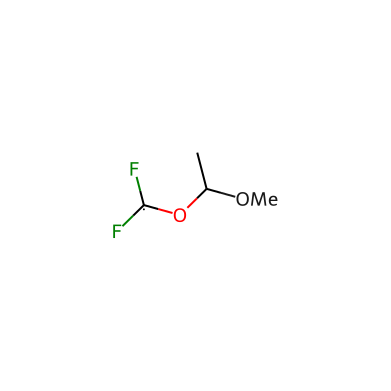 COC(C)O[C](F)F